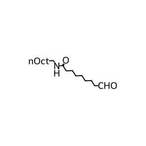 CCCCCCCCCNC(=O)CCCCCCCC=O